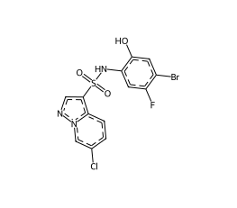 O=S(=O)(Nc1cc(F)c(Br)cc1O)c1cnn2cc(Cl)ccc12